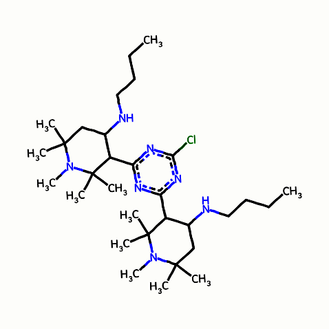 CCCCNC1CC(C)(C)N(C)C(C)(C)C1c1nc(Cl)nc(C2C(NCCCC)CC(C)(C)N(C)C2(C)C)n1